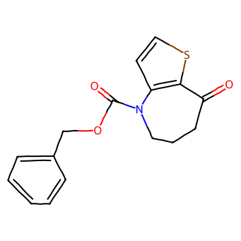 O=C1CCCN(C(=O)OCc2ccccc2)c2ccsc21